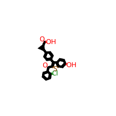 O=C(c1ccccc1Cl)c1sc2cc(O)ccc2c1-c1ccc(C2CC2C(=O)O)cc1